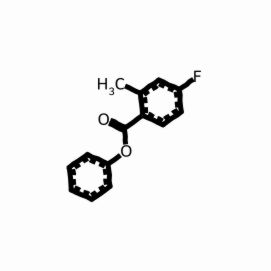 Cc1cc(F)ccc1C(=O)Oc1ccccc1